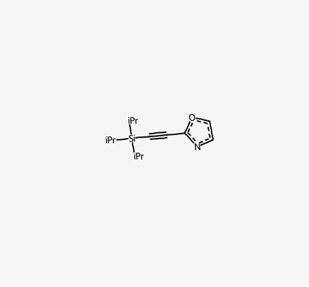 CC(C)[Si](C#Cc1ncco1)(C(C)C)C(C)C